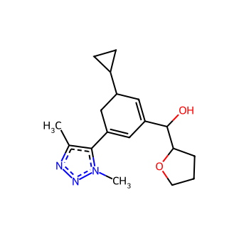 Cc1nnn(C)c1C1=CC(C(O)C2CCCO2)=CC(C2CC2)C1